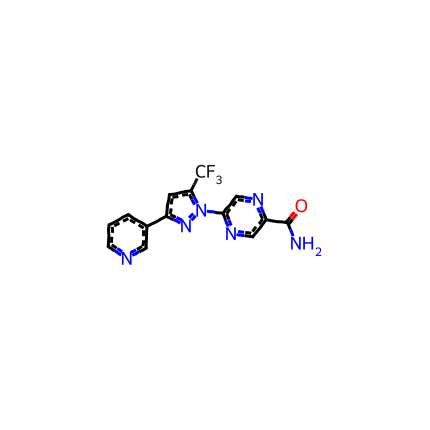 NC(=O)c1cnc(-n2nc(-c3cccnc3)cc2C(F)(F)F)cn1